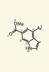 COC(=O)c1cc(C(C)=O)c2cc[nH]c2c1